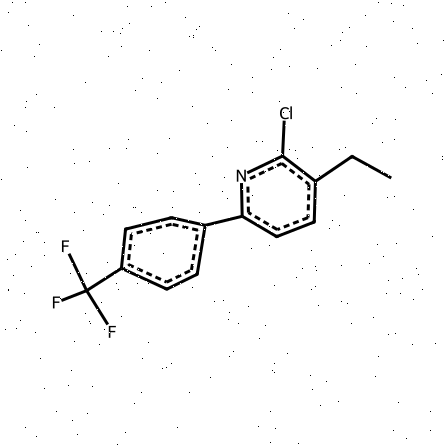 CCc1ccc(-c2ccc(C(F)(F)F)cc2)nc1Cl